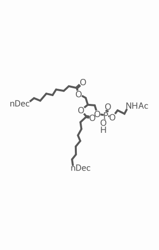 CCCCCCCCCCCCCCCCCC(=O)OCC(COP(=O)(O)OCCNC(C)=O)OC(=O)CCCCCCCCCCCCCCCCC